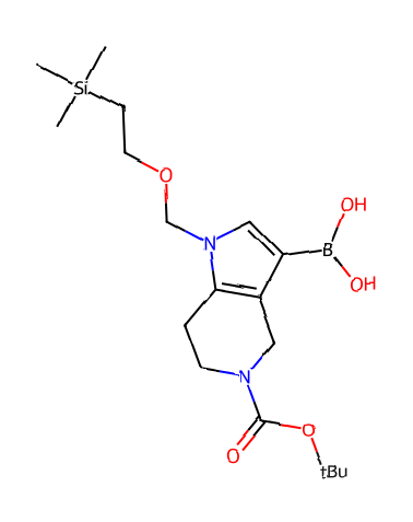 CC(C)(C)OC(=O)N1CCc2c(c(B(O)O)cn2COCC[Si](C)(C)C)C1